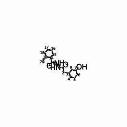 O=C(Cc1cccc(O)c1)NNC(=O)c1ccccc1I